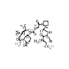 CO[C@@H]1[C@H](OC(=O)NCC(=O)N2CCC[C@H]2C(=O)N[C@@H](CC(C)C)C(=O)N(C)CC(=O)O)CC[C@]2(CO2)[C@H]1[C@@]1(C)O[C@@]1(C)CC=C(C)C